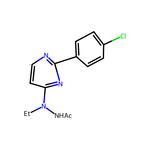 CCN(NC(C)=O)c1c[c]nc(-c2ccc(Cl)cc2)n1